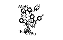 COc1ccccc1-c1nccc(COc2ccccc2CC(Nc2ncnn3cc(-c4ccc(F)cc4)c(-c4ccc(OCCN5CCN(C)CC5)c(Cl)c4C)c23)C(=O)OCOP(=O)(OC(C)(C)C)OC(C)(C)C)n1